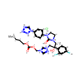 COCCCOC(=O)OCn1cn[n+](C[C@](O)(c2ccc(F)cc2F)[C@@H](C)N2CCN(c3ccc(-n4cnnn4)cc3)C2=O)c1.[Cl-]